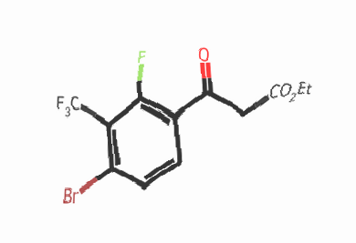 CCOC(=O)CC(=O)c1ccc(Br)c(C(F)(F)F)c1F